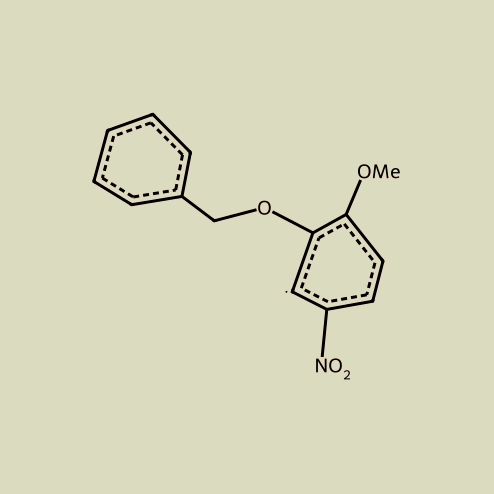 COc1ccc([N+](=O)[O-])[c]c1OCc1ccccc1